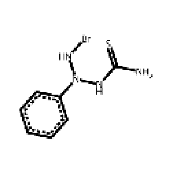 NC(=S)NN(NBr)c1ccccc1